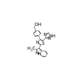 Cc1nn2ccccc2c1-c1nc(-c2ccc(CO)cc2)c(-c2nc[nH]n2)s1